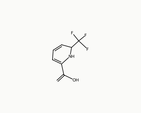 C=C(O)C1=CC=CC(C(F)(F)F)N1